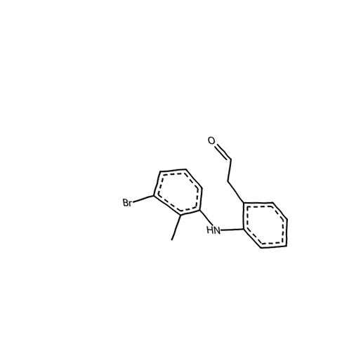 Cc1c(Br)cccc1Nc1ccccc1CC=O